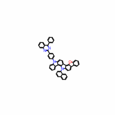 c1ccc(-c2nc(-c3ccc(-n4c5ccccc5c5c4ccc4c6c7oc8ccccc8c7ccc6n(-c6cccc7ccccc67)c45)cc3)nc3ccccc23)cc1